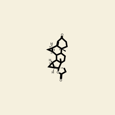 CC12CCC3C(C1[C@@H]1C[C@@H]1[C@@]21CCC(=O)O1)[C@H]1C[C@H]1C1=CC(=O)CC[C@@]13C